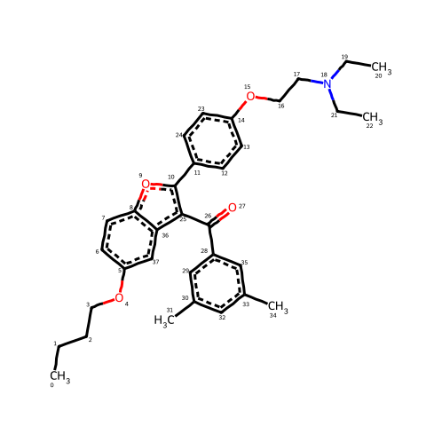 CCCCOc1ccc2oc(-c3ccc(OCCN(CC)CC)cc3)c(C(=O)c3cc(C)cc(C)c3)c2c1